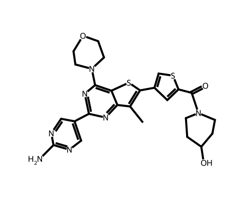 Cc1c(-c2csc(C(=O)N3CCC(O)CC3)c2)sc2c(N3CCOCC3)nc(-c3cnc(N)nc3)nc12